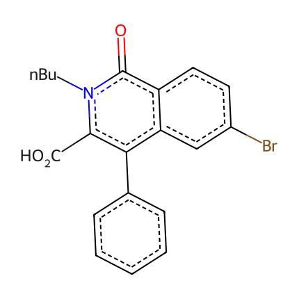 CCCCn1c(C(=O)O)c(-c2ccccc2)c2cc(Br)ccc2c1=O